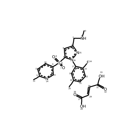 CNCc1cc(S(=O)(=O)c2ccc(C)nc2)n(-c2cc(C)ccc2F)n1.O=C(O)C=CC(=O)O